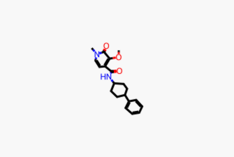 COc1c(C(=O)NC2CCC(c3ccccc3)CC2)ccn(C)c1=O